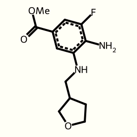 COC(=O)c1cc(F)c(N)c(NCC2CCOC2)c1